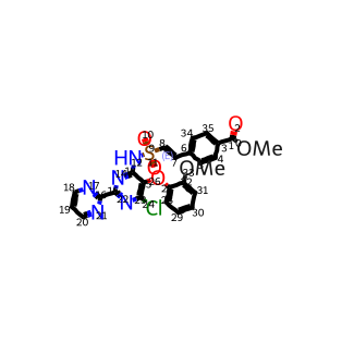 COC(=O)c1ccc(/C=C/S(=O)(=O)Nc2nc(-c3ncccn3)nc(Cl)c2Oc2ccccc2OC)cc1